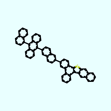 c1ccc2cc3c(cc2c1)sc1c2ccc(-c4ccc5cc(-c6c7ccccc7c(-c7cccc8ccccc78)c7ccccc67)ccc5c4)cc2c2ccccc2c31